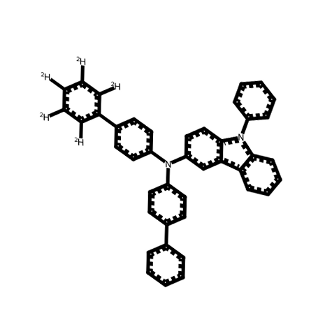 [2H]c1c([2H])c([2H])c(-c2ccc(N(c3ccc(-c4ccccc4)cc3)c3ccc4c(c3)c3ccccc3n4-c3ccccc3)cc2)c([2H])c1[2H]